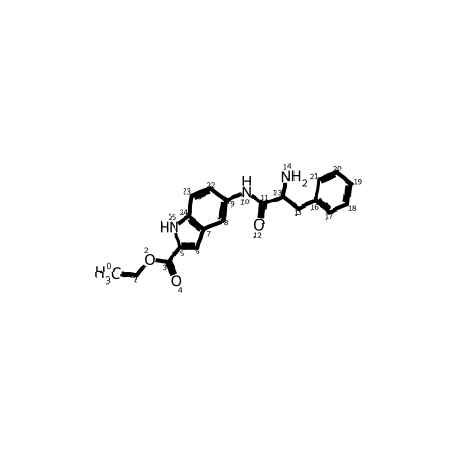 CCOC(=O)c1cc2cc(NC(=O)C(N)Cc3ccccc3)ccc2[nH]1